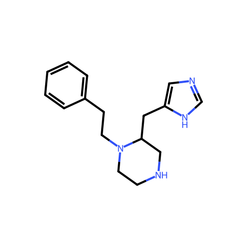 c1ccc(CCN2CCNCC2Cc2cnc[nH]2)cc1